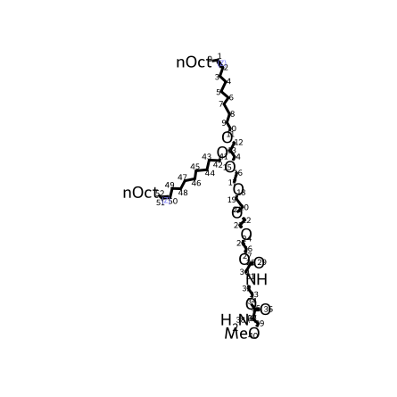 CCCCCCCC/C=C\CCCCCCCCOCC(COCCOCCOCCOCCOC(=O)CNCCOC(=O)[C@@H](N)COC)OCCCCCCCC/C=C\CCCCCCCC